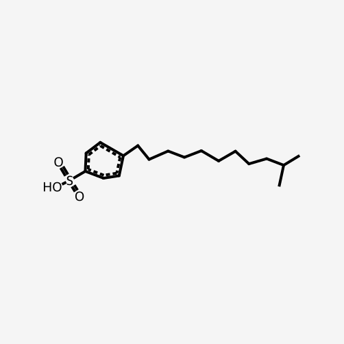 CC(C)CCCCCCCCCc1ccc(S(=O)(=O)O)cc1